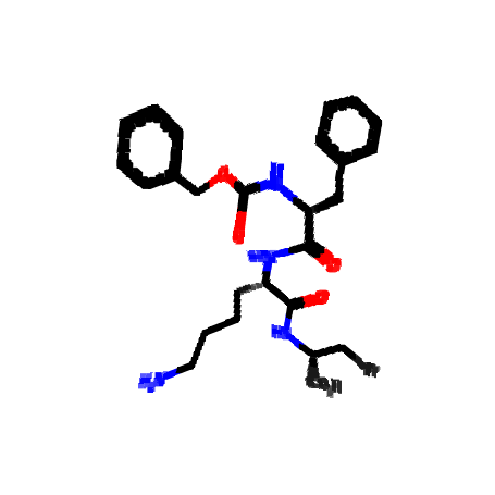 CC(C)C[C@H](NC(=O)[C@H](CCCCN)NC(=O)[C@H](Cc1ccccc1)NC(=O)OCc1ccccc1)C(=O)O